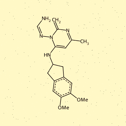 C=C1N=C(C)C=C(NC2Cc3cc(OC)c(OC)cc3C2)N1/N=C\N